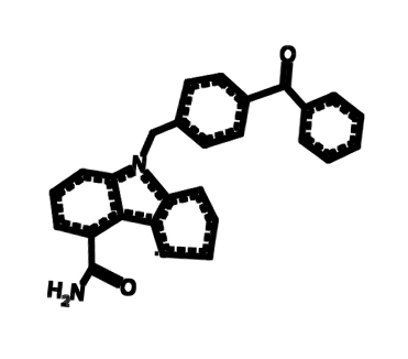 NC(=O)c1cccc2c1c1[c]cccc1n2Cc1ccc(C(=O)c2ccccc2)cc1